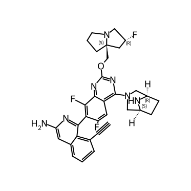 C#Cc1cccc2cc(N)nc(-c3c(F)cc4c(N5C[C@H]6CC[C@@H](C5)N6)nc(OC[C@@]56CCCN5C[C@H](F)C6)nc4c3F)c12